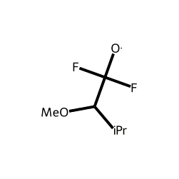 COC(C(C)C)C([O])(F)F